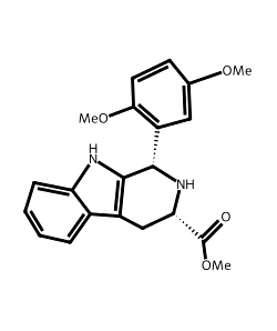 COC(=O)[C@@H]1Cc2c([nH]c3ccccc23)[C@H](c2cc(OC)ccc2OC)N1